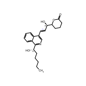 CCCCC[C@H](O)c1ncc(/C=C/[C@@H](O)C2CCCC(=O)O2)c2ccccc12